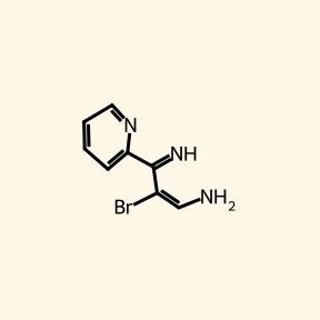 N=C(/C(Br)=C\N)c1ccccn1